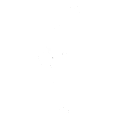 CCCCCCC1CCC(CCCCC)C1=O